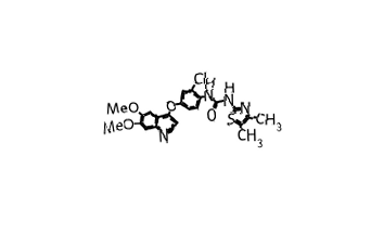 COc1cc2nccc(Oc3ccc(NC(=O)Nc4nc(C)c(C)s4)c(Cl)c3)c2cc1OC